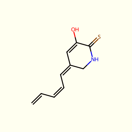 C=C/C=C\C=C1\C=C(O)C(=S)NC1